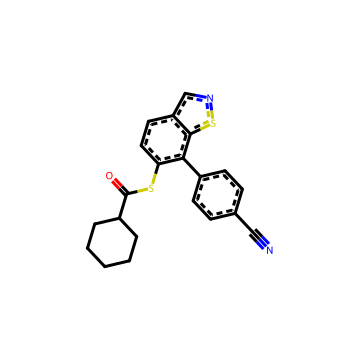 N#Cc1ccc(-c2c(SC(=O)C3CCCCC3)ccc3cnsc23)cc1